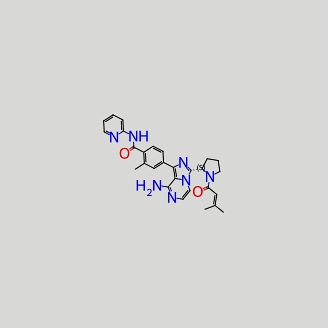 CC(C)=CC(=O)N1CCC[C@H]1c1nc(-c2ccc(C(=O)Nc3ccccn3)c(C)c2)c2c(N)nccn12